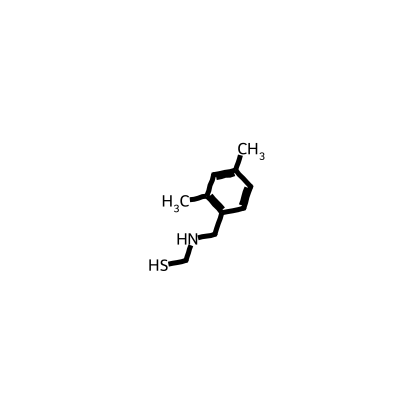 Cc1ccc(CNCS)c(C)c1